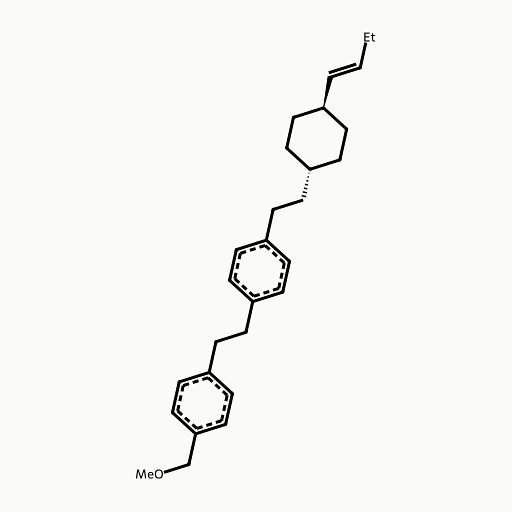 CCC=C[C@H]1CC[C@H](CCc2ccc(CCc3ccc(COC)cc3)cc2)CC1